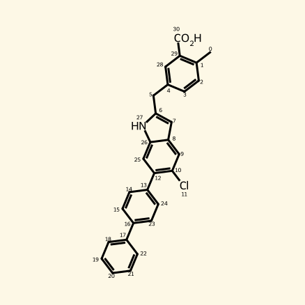 Cc1ccc(Cc2cc3cc(Cl)c(-c4ccc(-c5ccccc5)cc4)cc3[nH]2)cc1C(=O)O